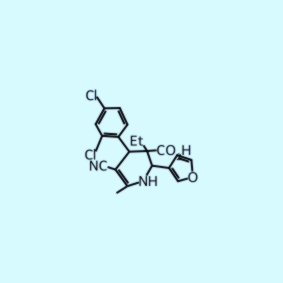 CCC1(C(=O)O)C(c2ccoc2)NC(C)=C(C#N)C1c1ccc(Cl)cc1Cl